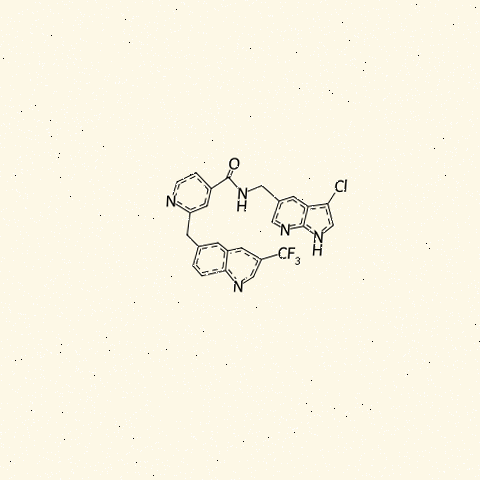 O=C(NCc1cnc2[nH]cc(Cl)c2c1)c1ccnc(Cc2ccc3ncc(C(F)(F)F)cc3c2)c1